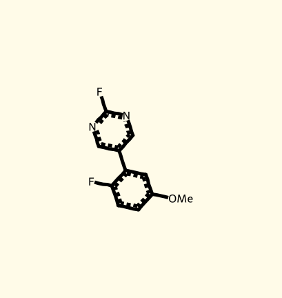 COc1ccc(F)c(-c2cnc(F)nc2)c1